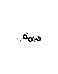 Cc1cc(C#N)cc(C2CCc3nc(-c4ccccn4)sc3C2)c1